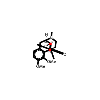 COc1ccc2c(c1OC)[C@]13CCN(C)[C@H](C2)[C@]1(O)CCC(=O)C3C